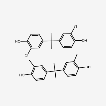 CC(C)(c1ccc(O)c(Cl)c1)c1ccc(O)c(Cl)c1.Cc1cc(C(C)(C)c2ccc(O)c(C)c2)ccc1O